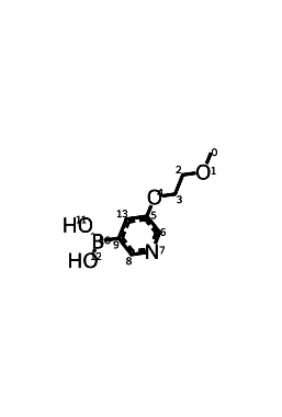 COCCOc1cncc(B(O)O)c1